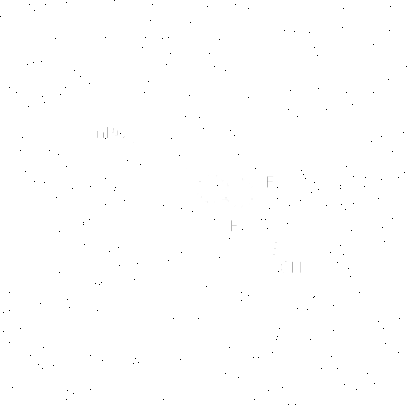 CC=CCCc1c(F)cc2cc(C3CCC4CC(CCCC)CCC4C3)ccc2c1F